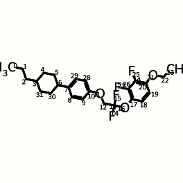 CCCC1CCC(c2ccc(OCC(F)(F)Oc3ccc(OCC)c(F)c3F)cc2)CC1